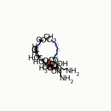 C[C@@H]1C/C=C/C=C/C=C/C=C/[C@H](O[C@@H]2O[C@H](C)[C@@H](O)[C@H](N(CCCN)CCCN)[C@@H]2O)C[C@@H]2O[C@](O)(C[C@@H](O)C[C@H]3O[C@@H]3/C=C/C(=O)O1)C[C@H](O)[C@H]2C(=O)O